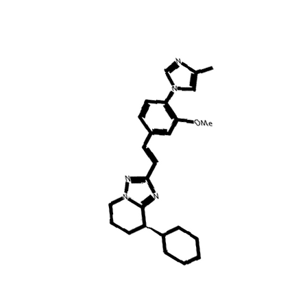 COc1cc(/C=C/c2nc3n(n2)CCC[C@@H]3C2CCCCC2)ccc1-n1cnc(C)c1